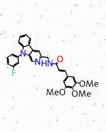 COc1cc(/C=C/C(=O)NCc2cc3c4ccccc4n(-c4cccc(F)c4)c3cn2)cc(OC)c1OC